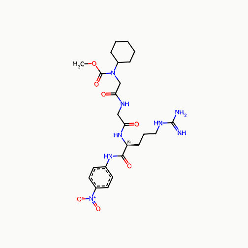 COC(=O)N(CC(=O)NCC(=O)N[C@@H](CCCNC(=N)N)C(=O)Nc1ccc([N+](=O)[O-])cc1)C1CCCCC1